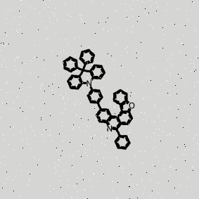 c1ccc(-c2nc3ccc(-c4ccc(N5c6ccccc6C(c6ccccc6)(c6ccccc6)c6ccccc65)cc4)cc3c3c2ccc2oc4ccccc4c23)cc1